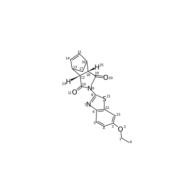 CCOc1ccc2nc(N3C(=O)[C@@H]4C5C=CC(C5)[C@@H]4C3=O)sc2c1